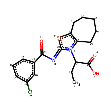 CCC(C(=O)O)n1c2c(sc1=NC(=O)c1cccc(Cl)c1)CCCCC2